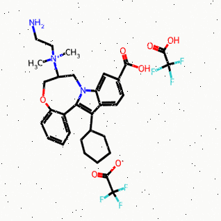 C[N+](C)(CCN)C1COc2ccccc2-c2c(C3CCCCC3)c3ccc(C(=O)O)cc3n2C1.O=C(O)C(F)(F)F.O=C([O-])C(F)(F)F